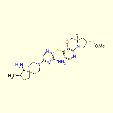 COC[C@H]1C[C@H]2COc3c(Sc4ncc(N5CCC6(CC[C@@H](C)[C@H]6N)CC5)nc4N)ccnc3N2C1